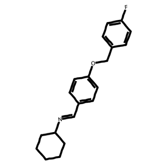 Fc1ccc(COc2ccc(C=NC3CCCCC3)cc2)cc1